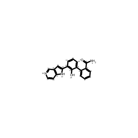 NC(=O)c1c[c]ccc1-c1cccc(-c2cc3cnccc3[nH]2)c1O